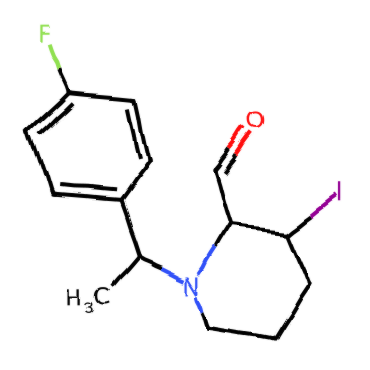 CC(c1ccc(F)cc1)N1CCCC(I)C1C=O